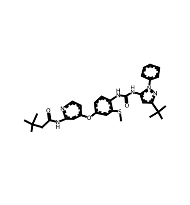 CSc1cc(Oc2ccnc(NC(=O)[CH]C(C)(C)C)c2)ccc1NC(=O)Nc1cc(C(C)(C)C)nn1-c1ccccc1